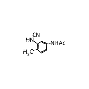 CC(=O)Nc1ccc(C)c(NC#N)c1